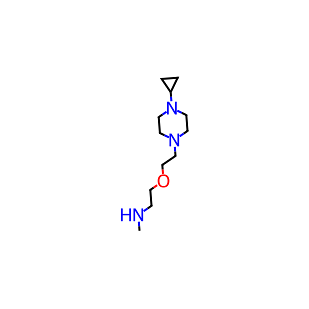 CNCCOCCN1CCN(C2CC2)CC1